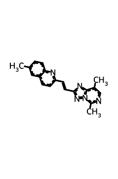 Cc1ccc2nc(/C=C/c3nc4c(C)cnc(C)n4n3)ccc2c1